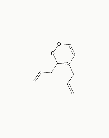 C=CCC1=C(CC=C)OOC=C1